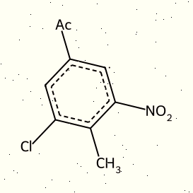 CC(=O)c1[c]c([N+](=O)[O-])c(C)c(Cl)c1